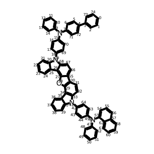 c1ccc(-c2ccc(N(c3ccccc3)c3ccc(-n4c5ccccc5c5c6oc7c(ccc8c7c7ccccc7n8-c7ccc(N(c8ccccc8)c8cccc9ccccc89)cc7)c6ccc54)cc3)cc2)cc1